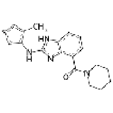 Cc1cscc1Nc1nc2c(C(=O)N3CCCCC3)cccc2[nH]1